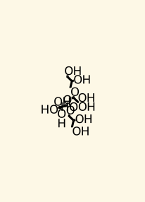 OCC(O)COC(OC(OCC(O)CO)C(O)(O)O)C(O)(O)O